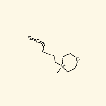 C[N+]1(CCCN=C=S)CCOCC1